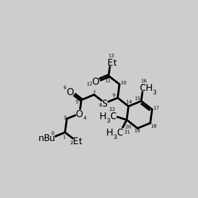 CCCCC(CC)COC(=O)CSC(CC(=O)CC)C1C(C)=CCCC1(C)C